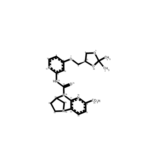 CC1(C)OC[C@H](COc2ccnc(NC(=O)N3c4nc(C(=O)O)ccc4N4CCC3C4)c2)O1